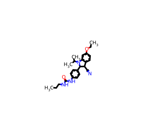 CCCNC(=O)Nc1ccc(C2C(C#N)c3ccc(OCC)cc3N2C(C)C)cc1